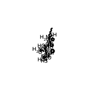 CCCCCC[C@](N)(CS)C(=O)N1CCC[C@H]1C(=O)N1CCC[C@H]1C(=O)N[C@H](C(=O)N[C@@H](CCC(N)=O)C(=O)N[C@@H](Cc1ccccc1)C(=O)N[C@@H](CS)C(=O)O)[C@@H](C)O